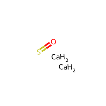 O=S.[CaH2].[CaH2]